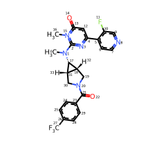 CN(c1nc(-c2ccncc2F)cc(=O)n1C)[C@@H]1[C@@H]2CN(C(=O)c3ccc(C(F)(F)F)cc3)C[C@@H]21